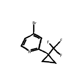 FC(F)(F)C1(c2cc(Br)ccn2)CC1